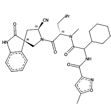 Cc1cc(C(=O)NC(C(=O)N(C)[C@@H](CC(C)C)C(=O)N2C[C@]3(C[C@H]2C#N)C(=O)Nc2ccccc23)C2CCCCC2)no1